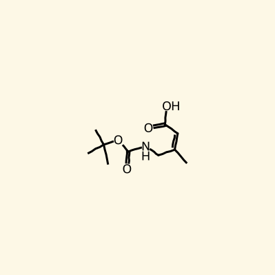 CC(=CC(=O)O)CNC(=O)OC(C)(C)C